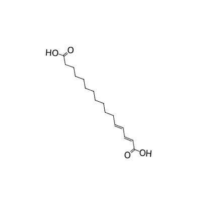 O=C(O)C=CC=CCCCCCCCCCCC(=O)O